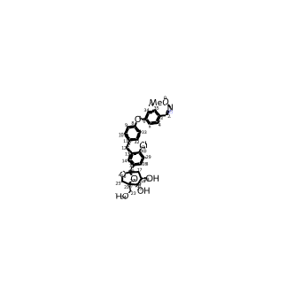 CO/N=C\c1ccc(Oc2ccc(Cc3cc([C@]45CC(O)[C@H](O)[C@](CO)(CO4)O5)ccc3Cl)cc2)cc1